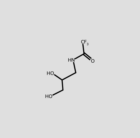 O=C(NCC(O)CO)C(F)(F)F